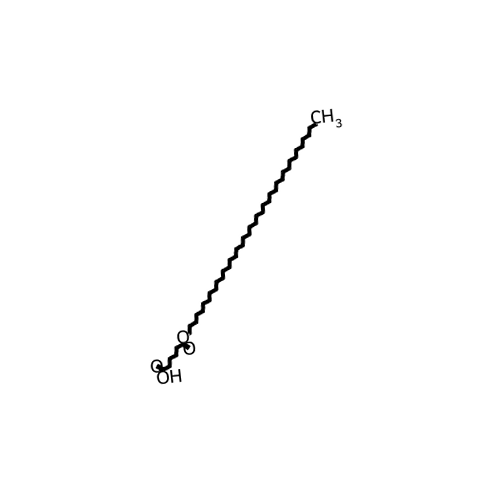 CCCCCCCCCCCCCCCCCCCCCCCCCCCCCCCCCCCCCCCCOC(=O)CCCCC(=O)O